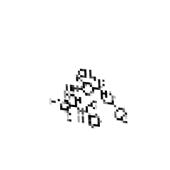 COc1cc(C(=O)N2CCC(N3CCOCC3)CC2)ccc1Nc1nc(NC(CO)c2ccccc2)c2c(Cl)c[nH]c2n1